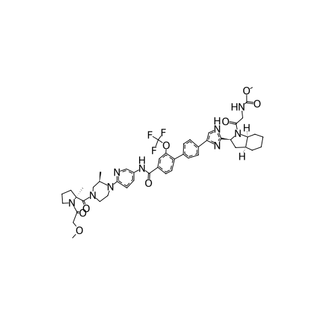 COCC(=O)N1CCC[C@@]1(C)C(=O)N1CCN(c2ccc(NC(=O)c3ccc(-c4ccc(-c5c[nH]c([C@@H]6C[C@@H]7CCCC[C@@H]7N6C(=O)CNC(=O)OC)n5)cc4)c(OC(F)(F)F)c3)cn2)[C@H](C)C1